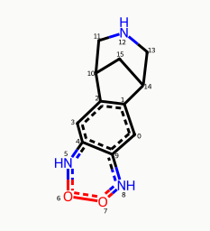 c1c2c(cc3[nH]oo[nH]c13)C1CNCC2C1